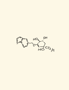 O=C(O)[C@]1(O)C=C(OCc2ccc3sccc3c2)[C@@H](O)[C@H](O)C1